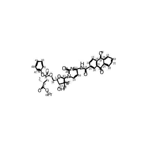 CC(C)OC(=O)[C@H](C)C[P@](=O)(OC[C@H]1OC(n2ccc(NC(=O)c3ccc4c(c3)C(=O)c3ccccc3C4=O)nc2=O)C(F)(F)[C@@H]1O)Oc1ccccc1